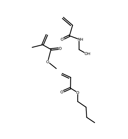 C=C(C)C(=O)OC.C=CC(=O)NCO.C=CC(=O)OCCCC